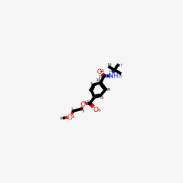 COCCOC(=O)c1ccc(C(=O)NC(C)(C)C)cc1